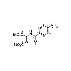 CCOC(=O)CC(NC(=O)c1ccc([N+](=O)[O-])cc1)C(=O)OCC